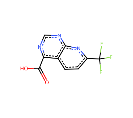 O=C(O)c1ncnc2nc(C(F)(F)F)ccc12